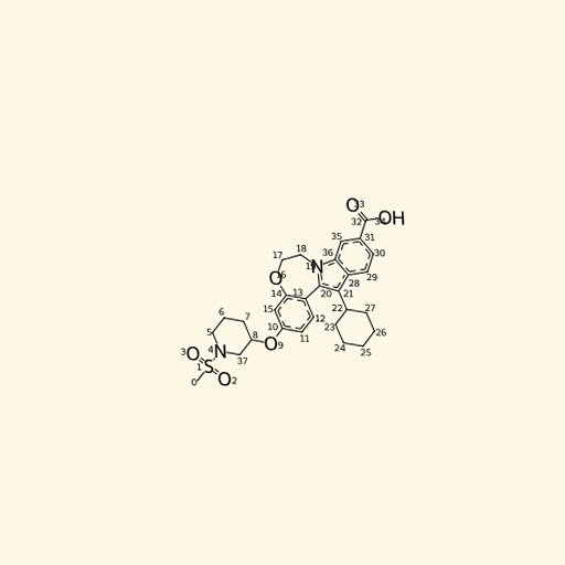 CS(=O)(=O)N1CCCC(Oc2ccc3c(c2)OCCn2c-3c(C3CCCCC3)c3ccc(C(=O)O)cc32)C1